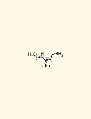 BC/C=C(\NC=C)C(C)(C)C